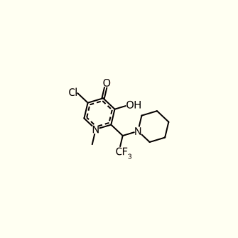 Cn1cc(Cl)c(=O)c(O)c1C(N1CCCCC1)C(F)(F)F